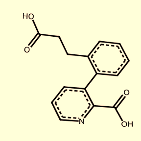 O=C(O)CCc1ccccc1-c1cccnc1C(=O)O